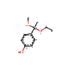 CCO[Si](C)(OC)c1ccc(O)cc1